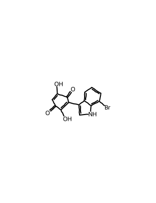 O=C1C=C(O)C(=O)C(c2c[nH]c3c(Br)cccc23)=C1O